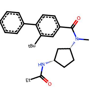 CCC(=O)N[C@H]1CC[C@@H](N(C)C(=O)c2ccc(-c3ccccc3)c(C(C)(C)C)c2)C1